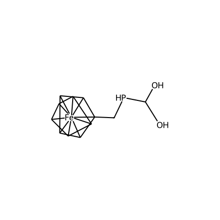 OC(O)PC[C]12[CH]3[CH]4[CH]5[CH]1[Fe]45321678[CH]2[CH]1[CH]6[CH]7[CH]28